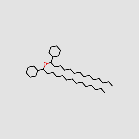 CCCCCCCCCCCCCC(OC(CCCCCCCCCCCCC)C1CCCCC1)C1CCCCC1